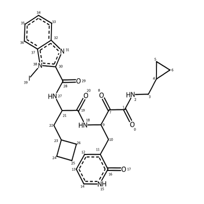 O=C(NCC1CC1)C(=O)C(Cc1ccc[nH]c1=O)NC(=O)C(CC1CCC1)NC(=O)c1nc2ccccc2n1I